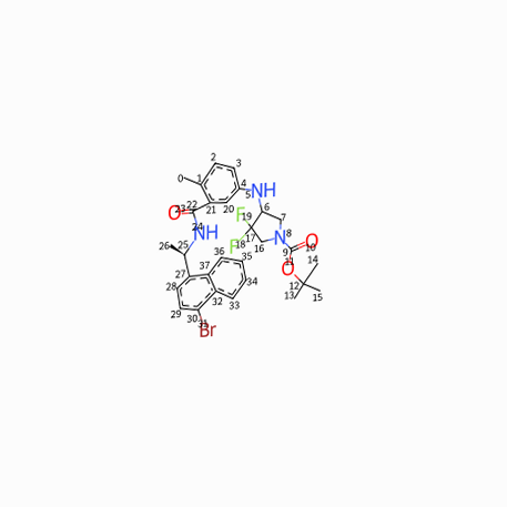 Cc1ccc(NC2CN(C(=O)OC(C)(C)C)CC2(F)F)cc1C(=O)N[C@H](C)c1ccc(Br)c2ccccc12